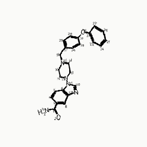 NC(=O)c1ccc2c(c1)ncn2N1CCN(Cc2ccc(Oc3ccccc3)cc2)CC1